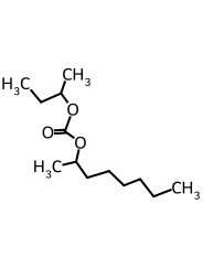 CCCCCCC(C)OC(=O)OC(C)CC